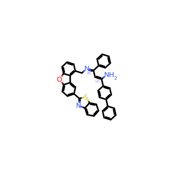 N/C(=C\C(=N/Cc1cccc2oc3ccc(-c4nc5ccccc5s4)cc3c12)c1ccccc1)c1ccc(-c2ccccc2)cc1